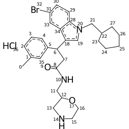 Cc1cccc(C(CC(=O)NCC2CNCCO2)c2cn(CC3CCCCC3)c3ccc(Br)cc23)c1.Cl